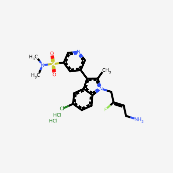 Cc1c(-c2cncc(S(=O)(=O)N(C)C)c2)c2cc(Cl)ccc2n1CC(F)=CCN.Cl.Cl